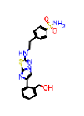 NS(=O)(=O)c1ccc(CCNc2nn3cc(-c4ccccc4CO)nc3s2)cc1